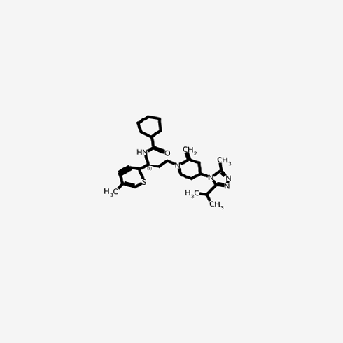 C=C1CC(n2c(C)nnc2C(C)C)CCN1CC[C@H](NC(=O)C1CCCCC1)C1C#CC(C)=CS1